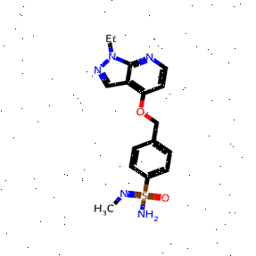 CCn1ncc2c(OCc3ccc(S(N)(=O)=NC)cc3)ccnc21